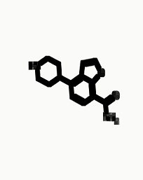 NC(=O)c1ccc(C2CCNCC2)c2ccoc12